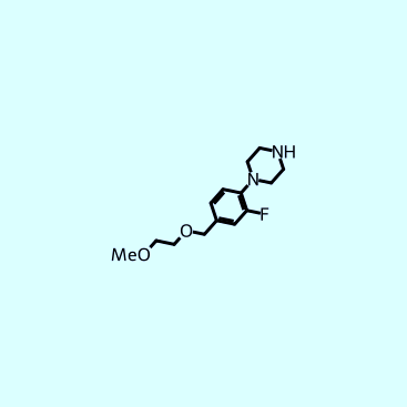 COCCOCc1ccc(N2CCNCC2)c(F)c1